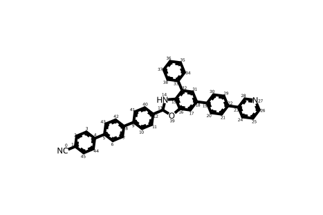 N#Cc1ccc(-c2ccc(-c3ccc(C4Nc5c(cc(-c6ccc(-c7cccnc7)cc6)cc5-c5ccccc5)O4)cc3)cc2)cc1